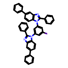 Ic1cc(-n2c(-c3ccccc3)nc3cc(-c4ccccc4)ccc32)cc(-n2c(-c3ccccc3)nc3cc(-c4ccccc4)ccc32)c1